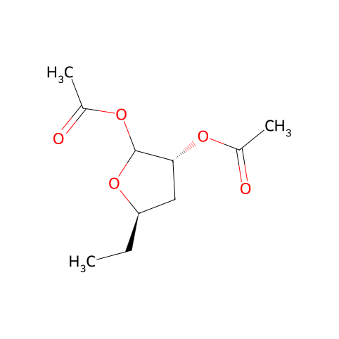 CC[C@@H]1C[C@@H](OC(C)=O)C(OC(C)=O)O1